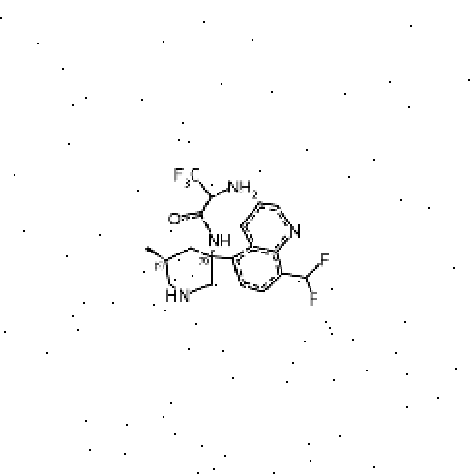 C[C@@H]1CNC[C@](NC(=O)C(N)C(F)(F)F)(c2ccc(C(F)F)c3ncccc23)C1